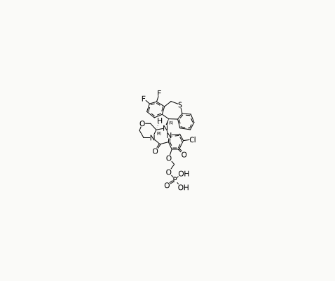 O=C1c2c(OCOP(=O)(O)O)c(=O)c(Cl)cn2N([C@@H]2c3ccccc3SCc3c2ccc(F)c3F)[C@@H]2COCCN12